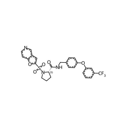 O=C(NCc1ccc(Oc2cccc(C(F)(F)F)c2)cc1)[C@@H]1CCCN1S(=O)(=O)c1cc2cnccc2o1